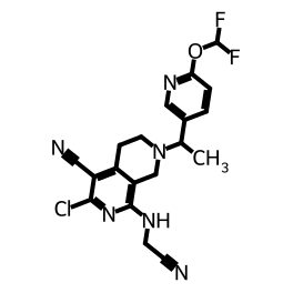 CC(c1ccc(OC(F)F)nc1)N1CCc2c(C#N)c(Cl)nc(NCC#N)c2C1